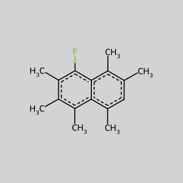 Cc1cc(C)c2c(C)c(C)c(C)c(F)c2c1C